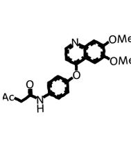 COc1cc2nccc(Oc3ccc(NC(=O)CC(C)=O)cc3)c2cc1OC